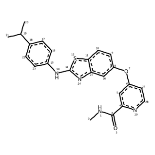 CNC(=O)c1cc(Oc2ccc3sc(Nc4ccc(C(C)C)cc4)nc3c2)ccn1